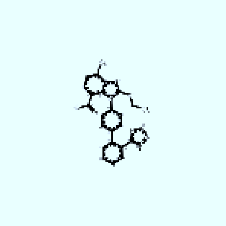 CCOc1nc2c(C)ccc(C(=O)O)c2n1-c1ccc(-c2ccccc2-c2nnn[nH]2)cc1